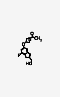 CC(=O)N1CC(Oc2cc(F)c3c(c2)C=C(CO)C3)C1